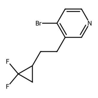 FC1(F)CC1CCc1cnccc1Br